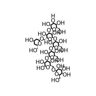 OC[C@@H]1C[C@H](O)C[C@H](OC[C@H]2O[C@@H](O[C@@H]3[C@@H](O)[C@H](O[C@@H]4[C@@H](O)[C@H](O[C@@H]5[C@@H](O)[C@H](O)O[C@H](CO[C@@H]6O[C@H](CO)[C@@H](O)[C@H](O)[C@H]6O)[C@H]5O)O[C@H](CO)[C@H]4O)O[C@H](CO)[C@H]3O)[C@H](O)[C@@H](O[C@@H]3O[C@H](CO)[C@@H](O)[C@H](O)[C@H]3O)[C@@H]2O)O1